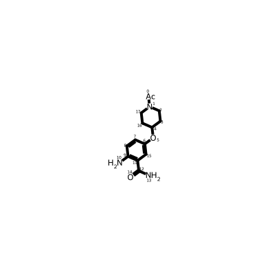 CC(=O)N1CCC(Oc2ccc(N)c(C(N)=O)c2)CC1